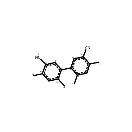 Cc1cc(C)c(-c2cc(C#N)c(C)cc2C)cc1C#N